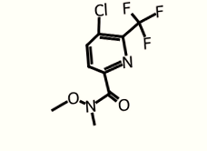 CON(C)C(=O)c1ccc(Cl)c(C(F)(F)F)n1